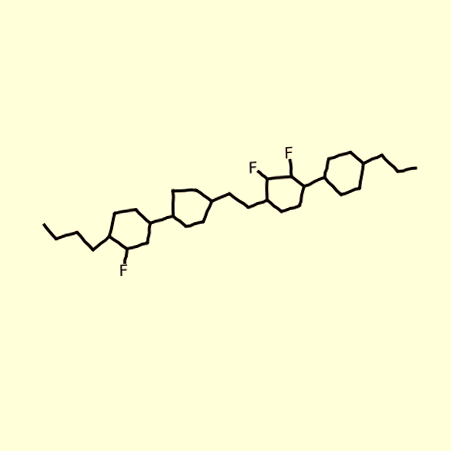 CCCCC1CCC(C2CCC(CCC3CCC(C4CCC(CCC)CC4)C(F)C3F)CC2)CC1F